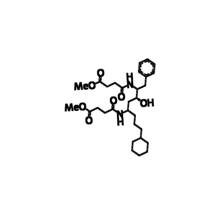 COC(=O)CCC(=O)NC(CCCC1CCCCC1)C[C@H](O)C(Cc1ccccc1)NC(=O)CCC(=O)OC